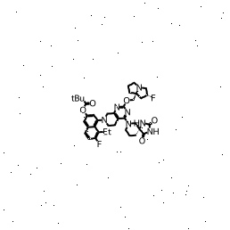 CCc1c(F)ccc2cc(OC(=O)C(C)(C)C)cc(N3CCc4c(nc(OC[C@@]56CCCN5C[C@H](F)C6)nc4N4CCC[C@]5(C4)NC(=O)NC5=O)C3)c12